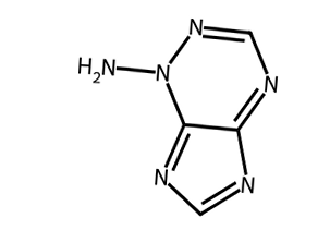 Nn1ncnc2ncnc1-2